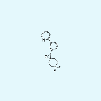 FC1(F)CCC2(CC1)OC2c1cccc(-c2ccccn2)c1